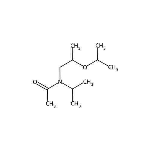 CC(=O)N(CC(C)OC(C)C)C(C)C